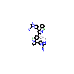 Cc1cc(-c2ncccc2-c2ccc3ncc(C#N)n3c2)c(F)cc1-c1cnc(-c2ccccc2F)c(-c2ccc3ncc(C#N)n3c2)c1